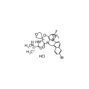 CC[C@H](NC)C(=O)N[C@@H]1C(=O)N(Cc2c(OC)ccc3cc(Br)ccc23)C2=C(C=C(F)CC2)OC12CCOCC2.Cl